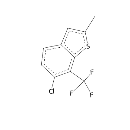 Cc1cc2ccc(Cl)c(C(F)(F)F)c2s1